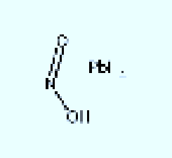 O=NO.[PbH4]